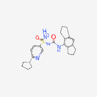 N[S@@](=O)(=NC(=O)Nc1c2c(cc3c1CCC3)CCC2)c1ccc(C2CCCC2)nc1